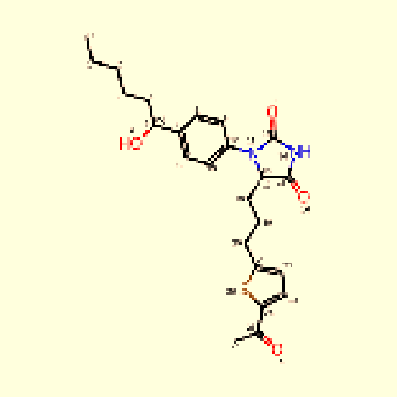 CCCCC[C@H](O)c1ccc(N2C(=O)NC(=O)[C@H]2CCCc2ccc(C(C)=O)s2)cc1